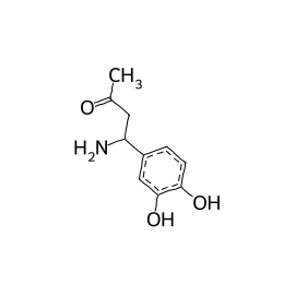 CC(=O)CC(N)c1ccc(O)c(O)c1